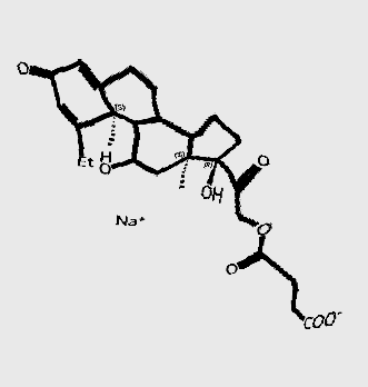 CCC1=CC(=O)C=C2CCC3C(C(O)C[C@@]4(C)C3CC[C@]4(O)C(=O)COC(=O)CCC(=O)[O-])[C@@]12C.[Na+]